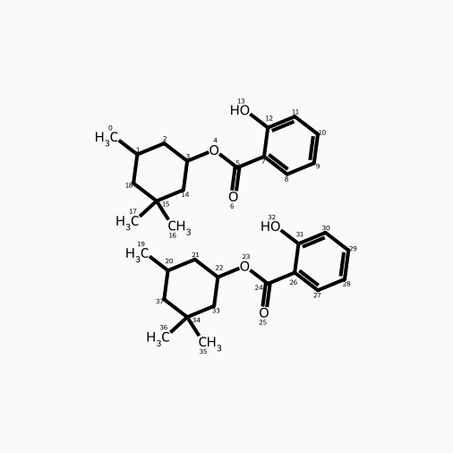 CC1CC(OC(=O)c2ccccc2O)CC(C)(C)C1.CC1CC(OC(=O)c2ccccc2O)CC(C)(C)C1